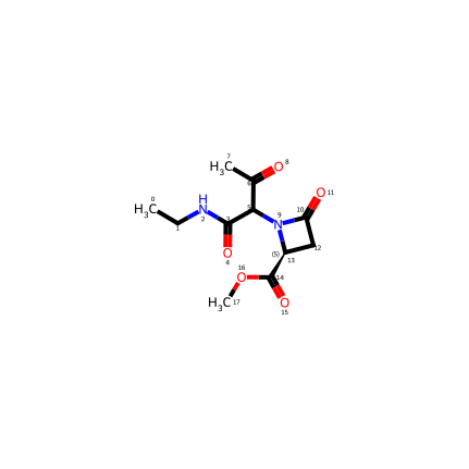 CCNC(=O)C(C(C)=O)N1C(=O)C[C@H]1C(=O)OC